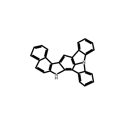 c1ccc2c(c1)ccc1[nH]c3c(cc4c5ccccc5n5c6ccccc6c3c45)c12